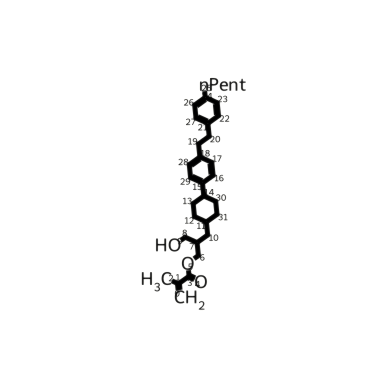 C=C(C)C(=O)OCC(CO)CC1CCC(c2ccc(CCc3ccc(CCCCC)cc3)cc2)CC1